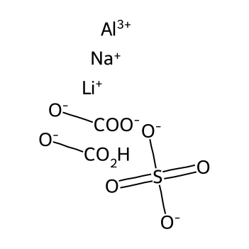 O=C([O-])O.O=C([O-])[O-].O=S(=O)([O-])[O-].[Al+3].[Li+].[Na+]